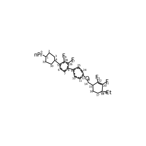 CCCC1CCC(c2ccc(-c3ccc(OCC4CC[C@H](CC)C(F)=C4F)cc3)c(F)c2F)CC1